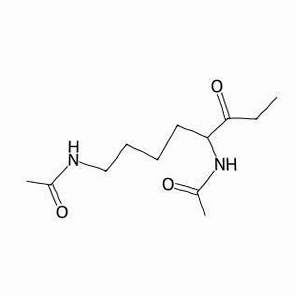 CCC(=O)C(CCCCNC(C)=O)NC(C)=O